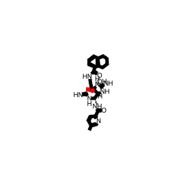 Cc1ccc(C(=O)NC[C@@H]2NC(=N)N3CC(NC(=O)c4cccc5c4CCCC5)[C@@H](O)C34NC(=N)N[C@@H]24)nc1